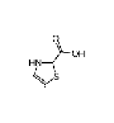 O=C(O)C1NC=[C]S1